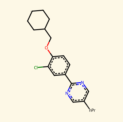 CCCc1cnc(-c2ccc(OCC3CC[CH]CC3)c(Cl)c2)nc1